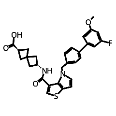 COc1cc(F)cc(-c2ccc(Cn3ccc4scc(C(=O)N[C@H]5CC6(C5)C[C@H](C(=O)O)C6)c43)cc2)c1